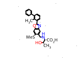 CSc1cc2oc(-c3cccc(-c4ccccc4)c3C)nc2cc1CN[C@H](C(=O)O)[C@H](C)O